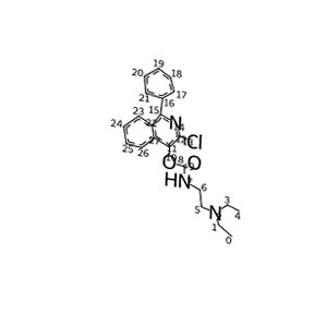 CCN(CC)CCNC(=O)Oc1c(Cl)nc(-c2ccccc2)c2ccccc12